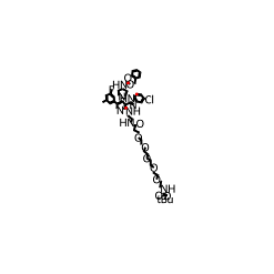 Cc1cc(F)cc(-c2cnc(NCCNC(=O)CCOCCOCCOCCOCCOCCNC(=O)OC(C)(C)C)c(-c3nc4cc(Cl)ccc4[nH]3)c2N2CCC(NC(=O)OCc3ccccc3)CC2)c1